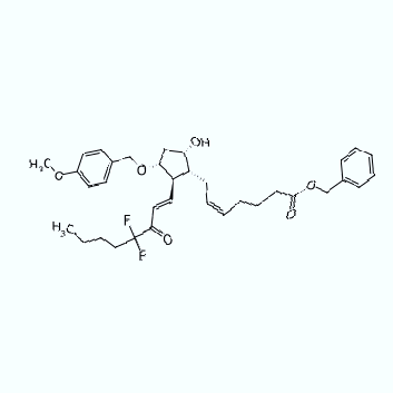 CCCCC(F)(F)C(=O)/C=C/[C@@H]1[C@@H](C/C=C\CCCC(=O)OCc2ccccc2)[C@@H](O)C[C@H]1OCc1ccc(OC)cc1